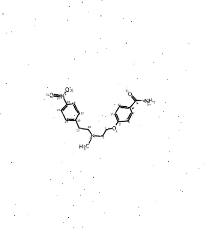 CN(CCOc1ccc(C(N)=O)cc1)CCc1ccc([N+](=O)[O-])cc1